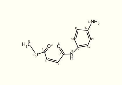 COC(=O)/C=C\C(=O)Nc1ccc(N)cc1